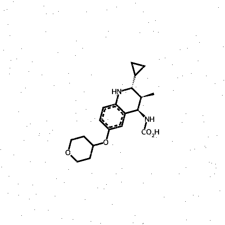 C[C@@H]1[C@@H](C2CC2)Nc2ccc(OC3CCOCC3)cc2[C@@H]1NC(=O)O